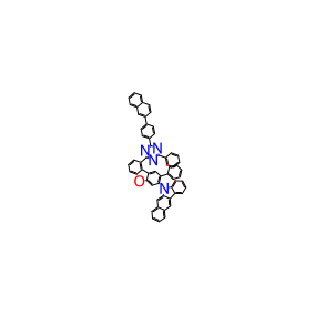 c1ccc(-c2nc(-c3ccc(-c4ccc5ccccc5c4)cc3)nc(-c3cccc4oc5cc(-n6c7ccccc7c7cc8ccccc8cc76)c(-c6ccccc6)cc5c34)n2)cc1